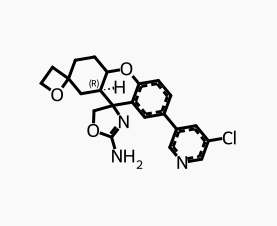 NC1=NC2(CO1)c1cc(-c3cncc(Cl)c3)ccc1OC1CCC3(CCO3)C[C@@H]12